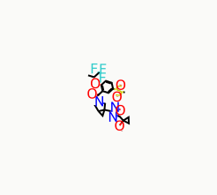 COC1(c2nc(C34CC3CN(C(=O)c3cc(S(C)(=O)=O)ccc3OC(C)C(F)(F)F)C4)no2)CC1